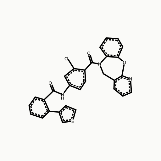 O=C(Nc1ccc(C(=O)N2Cc3cccnc3Oc3ccccc32)c(Cl)c1)c1ccccc1-c1ccsc1